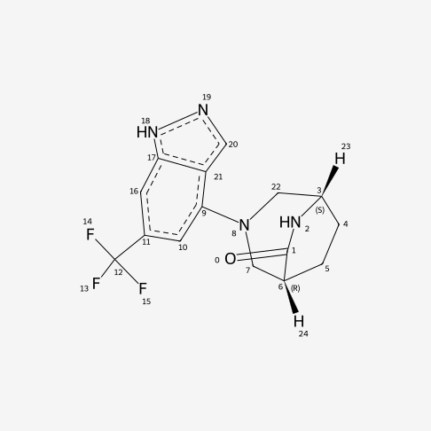 O=C1N[C@H]2CC[C@@H]1CN(c1cc(C(F)(F)F)cc3[nH]ncc13)C2